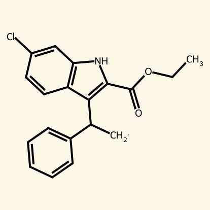 [CH2]C(c1ccccc1)c1c(C(=O)OCC)[nH]c2cc(Cl)ccc12